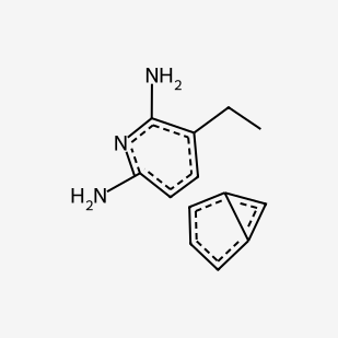 CCc1ccc(N)nc1N.c1cc2cc-2c1